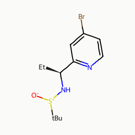 CC[C@H](N[S+]([O-])C(C)(C)C)c1cc(Br)ccn1